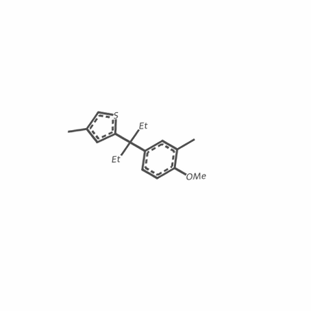 CCC(CC)(c1ccc(OC)c(C)c1)c1cc(C)cs1